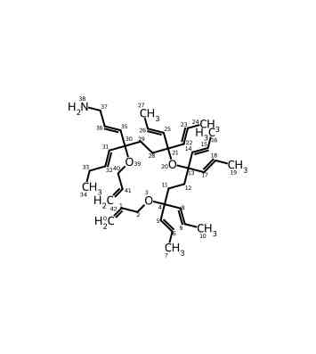 C=CCOC(C=CC)(C=CC)CCC(C=CC)(C=CC)OC(C=CC)(C=CC)CCC(C=CCC)(C=CCN)OCC=C